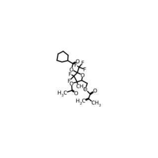 C=C(C)C(=O)OCC1OC(OC(=O)C2CCCCC2)(C(F)(F)F)C(F)(F)C1(C)OC(C)=O